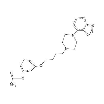 NC(=O)Oc1cccc(OCCCCN2CCN(c3cccc4sccc34)CC2)c1